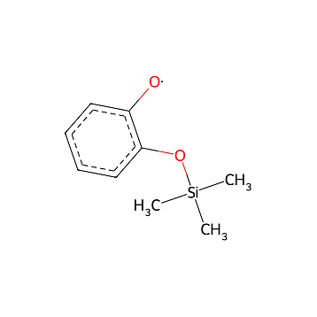 C[Si](C)(C)Oc1ccccc1[O]